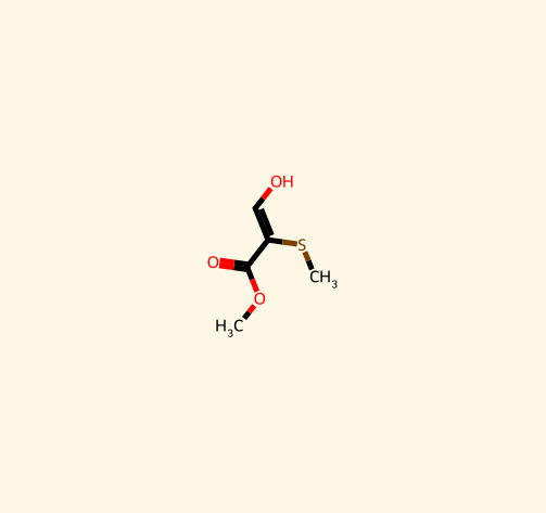 COC(=O)/C(=C/O)SC